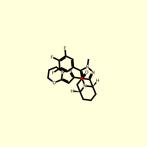 Cn1nc2c(c1-c1cc(F)c(F)c(F)c1)C[C@H]1CCC[C@@H]2N1C(=O)c1cc2n(n1)CCCO2